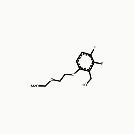 COCOCCOc1ccc(F)c(F)c1CO